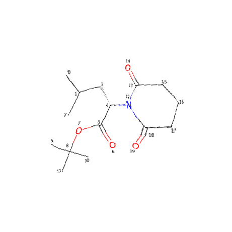 CC(C)C[C@@H](C(=O)OC(C)(C)C)N1C(=O)CCCC1=O